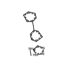 CN.c1c[nH]nn1.c1ccc(-c2ccccc2)cc1